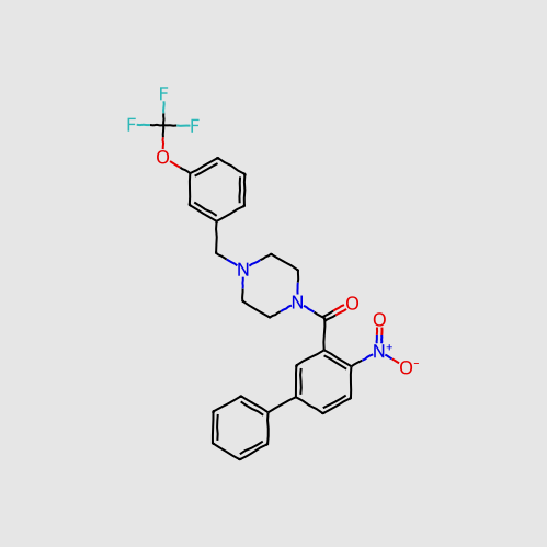 O=C(c1cc(-c2ccccc2)ccc1[N+](=O)[O-])N1CCN(Cc2cccc(OC(F)(F)F)c2)CC1